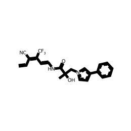 C=C/C(C#N)=C(\C=C\NC(=O)C(C)(O)Cn1ccc(-c2ccccc2)c1)C(F)(F)F